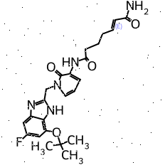 CC(C)(C)Oc1cc(F)cc2nc(Cn3cccc(NC(=O)CCC/C=C/C(N)=O)c3=O)[nH]c12